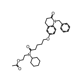 CC(=O)OCCN(C(=O)CCCCOc1ccc2c(c1)CCC(=O)N2Cc1ccccc1)C1CCCCC1